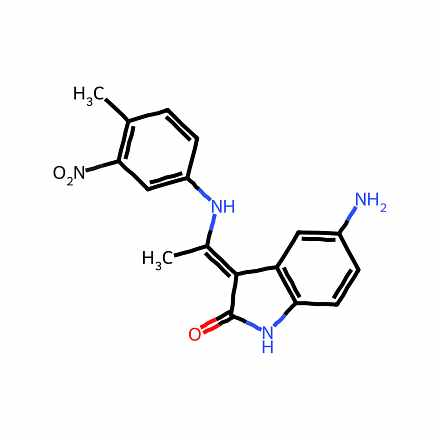 CC(Nc1ccc(C)c([N+](=O)[O-])c1)=C1C(=O)Nc2ccc(N)cc21